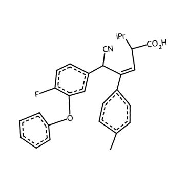 Cc1ccc(C(=CC(C(=O)O)C(C)C)C(C#N)c2ccc(F)c(Oc3ccccc3)c2)cc1